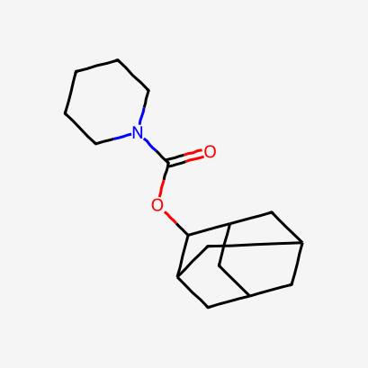 O=C(OC1C2CC3CC(C2)CC1C3)N1CCCCC1